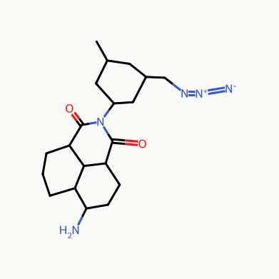 CC1CC(CN=[N+]=[N-])CC(N2C(=O)C3CCCC4C(N)CCC(C2=O)C34)C1